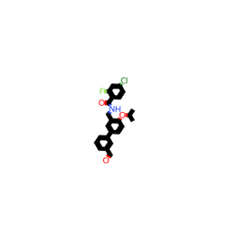 CC(C)Oc1ccc(-c2cccc(C=O)c2)cc1CNC(=O)c1ccc(Cl)cc1F